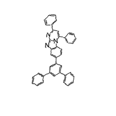 c1ccc(-c2cc(-c3ccccc3)cc(-c3ccc4c(c3)nc3nc(-c5ccccc5)cc(-c5ccccc5)n34)c2)cc1